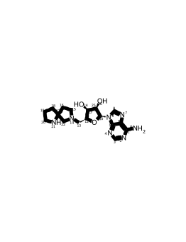 Nc1ncnc2c1ncn2[C@@H]1O[C@H](CN2CCC3(CCCN3)C2)[C@@H](O)[C@H]1O